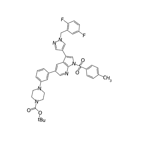 Cc1ccc(S(=O)(=O)n2cc(-c3cnn(Cc4cc(F)ccc4F)c3)c3cc(-c4cccc(N5CCN(C(=O)OC(C)(C)C)CC5)c4)cnc32)cc1